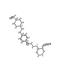 CCCCCCC1CCCCC1CCCOc1ccc(CCC2CCC(CCC)CC2)cc1